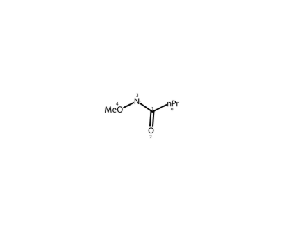 CCCC(=O)[N]OC